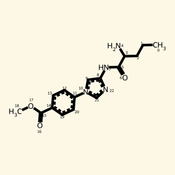 CCCC(N)C(=O)Nc1cn(-c2ccc(C(=O)OC)cc2)cn1